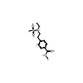 CCN(CCc1ccc(C(=O)OC)cc1)S(C)(=O)=O